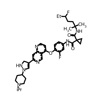 CCC(F)CCC(C)(C)NC(=O)C1(C(=O)Nc2ccc(Oc3ccnc4cc(C5=CN(C6CCN(C(C)C)CC6)NC5)ncc34)c(F)c2)CC1